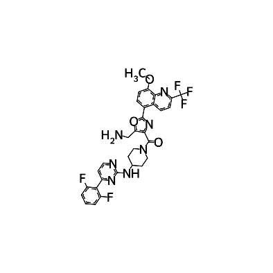 COc1ccc(-c2nc(C(=O)N3CCC(Nc4nccc(-c5c(F)cccc5F)n4)CC3)c(CN)o2)c2ccc(C(F)(F)F)nc12